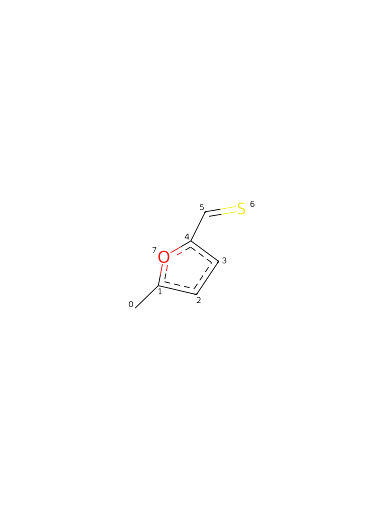 Cc1ccc(C=S)o1